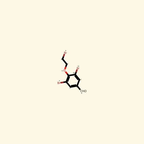 O=Cc1cc(Br)c(OCCBr)c(Br)c1